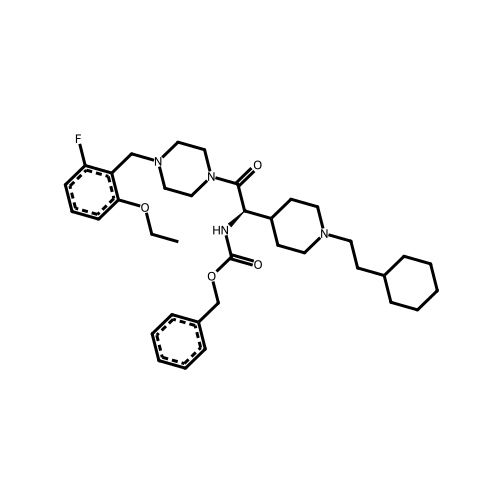 CCOc1cccc(F)c1CN1CCN(C(=O)[C@H](NC(=O)OCc2ccccc2)C2CCN(CCC3CCCCC3)CC2)CC1